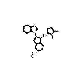 CC1=CC[C]([Ti+2][CH]2C(n3cnc4ccccc43)=Cc3ccccc32)=C1C.[Cl-].[Cl-]